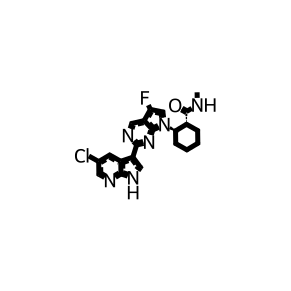 CNC(=O)[C@@H]1CCCC[C@H]1n1cc(F)c2cnc(-c3c[nH]c4ncc(Cl)cc34)nc21